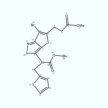 COC(=O)CCc1sc2c(N(Cc3cccs3)C(=O)OC(C)(C)C)snc2c1Br